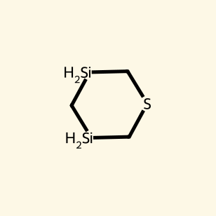 C1[SiH2]CSC[SiH2]1